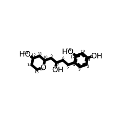 Oc1ccc(CCC(O)CC2CC(O)CCO2)c(O)c1